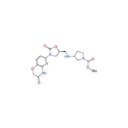 CC(C)(C)OC(=O)N1CCC(NC[C@H]2CN(c3ccc4c(n3)NC(=O)CO4)C(=O)O2)C1